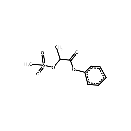 CC(OS(C)(=O)=O)C(=O)Oc1ccccc1